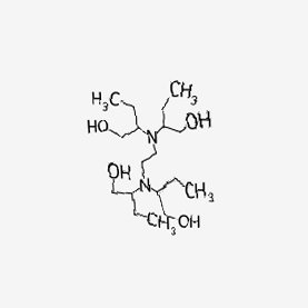 CCC(CO)N(CCN(C(CC)CO)C(CC)CO)C(CC)CO